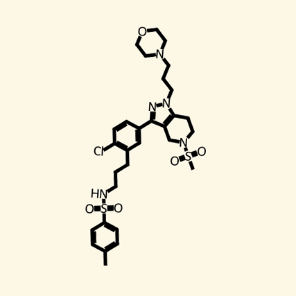 Cc1ccc(S(=O)(=O)NCCCc2cc(-c3nn(CCCN4CCOCC4)c4c3CN(S(C)(=O)=O)CC4)ccc2Cl)cc1